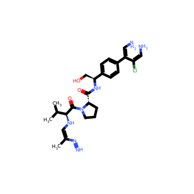 C/C(=C/N[C@H](C(=O)N1CCC[C@H]1C(=O)N[C@@H](CO)c1ccc(C(=C/N)/C(Cl)=C\N)cc1)C(C)C)N=N